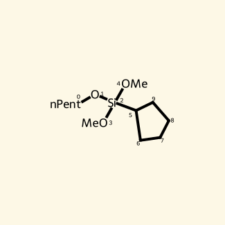 CCCCCO[Si](OC)(OC)C1CCCC1